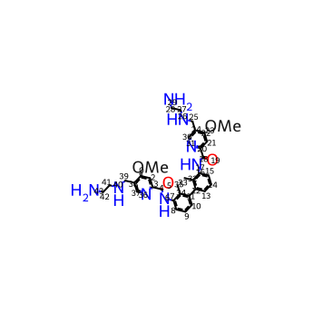 COc1cc(C(=O)Nc2cccc(-c3cccc(NC(=O)c4cc(OC)c(CNCCN)cn4)c3C)c2C)ncc1CNCCN